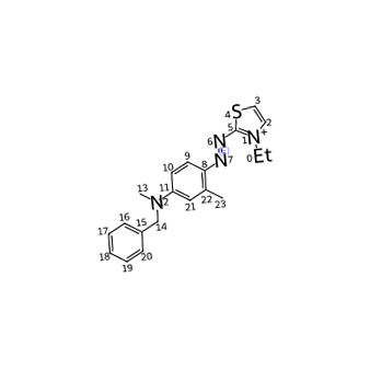 CC[n+]1ccsc1/N=N/c1ccc(N(C)Cc2ccccc2)cc1C